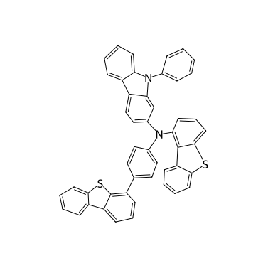 c1ccc(-n2c3ccccc3c3ccc(N(c4ccc(-c5cccc6c5sc5ccccc56)cc4)c4cccc5sc6ccccc6c45)cc32)cc1